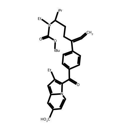 C=C=C(CCC(C(C)C)N(CC)C(=O)OC(C)(C)C)c1ccc(C(=O)c2c(CC)cc3cc(C(=O)O)ccn23)cc1